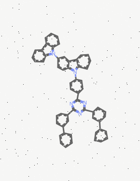 c1ccc(-c2cccc(-c3nc(-c4ccc(-n5c6ccccc6c6cc(-n7c8ccccc8c8ccccc87)ccc65)cc4)nc(-c4cccc(-c5ccccc5)c4)n3)c2)cc1